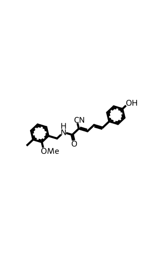 COc1c(C)cccc1CNC(=O)/C(C#N)=C/C=C/c1ccc(O)cc1